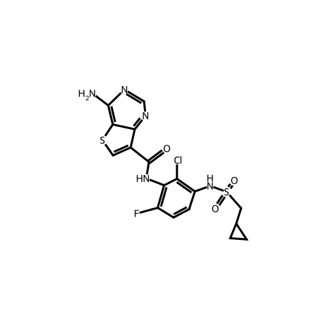 Nc1ncnc2c(C(=O)Nc3c(F)ccc(NS(=O)(=O)CC4CC4)c3Cl)csc12